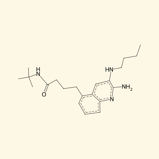 CCCCNc1cc2c(CCCC(=O)NC(C)(C)C)cccc2nc1N